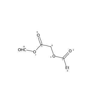 CCC(=O)OCC(=O)OC=O